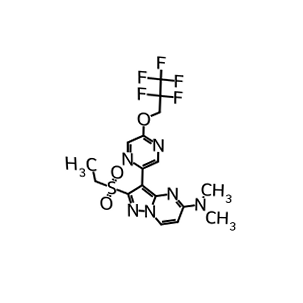 CCS(=O)(=O)c1nn2ccc(N(C)C)nc2c1-c1cnc(OCC(F)(F)C(F)(F)F)cn1